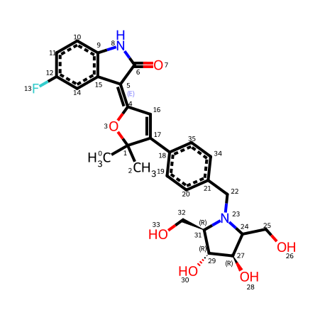 CC1(C)O/C(=C2/C(=O)Nc3ccc(F)cc32)C=C1c1ccc(CN2C(CO)[C@@H](O)[C@H](O)[C@H]2CO)cc1